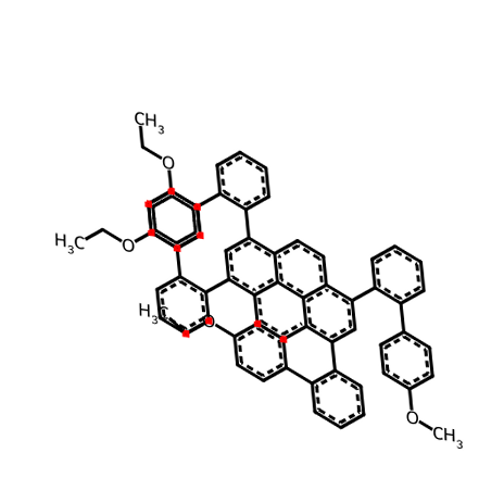 CCOc1ccc(-c2ccccc2-c2cc(-c3ccccc3-c3ccc(OC)cc3)c3ccc4c(-c5ccccc5-c5ccc(OCC)cc5)cc(-c5ccccc5-c5ccc(OCC)cc5)c5ccc2c3c45)cc1